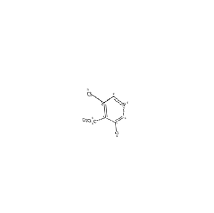 CCOC(=O)c1c(Cl)cncc1Cl